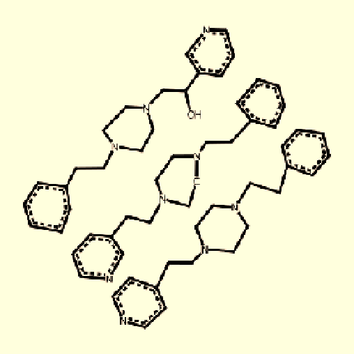 OC(CN1CCN(CCc2ccccc2)CC1)c1cccnc1.c1ccc(CCN2CCN(CCc3cccnc3)CC2)cc1.c1ccc(CCN2CCN(CCc3ccncc3)CC2)cc1